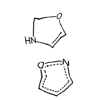 C1=COCN1.c1cnoc1